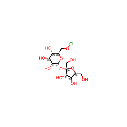 OC[C@H]1O[C@@](CO)(O[C@H]2O[C@H](COCl)[C@@H](O)[C@H](O)[C@H]2O)[C@@H](O)[C@@H]1O